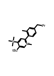 Cc1cc(CC(C)C)ccc1-c1cc([Si](C)(C)C)c(C(C)(C)C)c[n+]1C